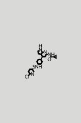 O=C(Nc1cc(-c2ccc(NSc3ccc(Cl)nc3)cc2)c2cc[nH]c2n1)C1CC1